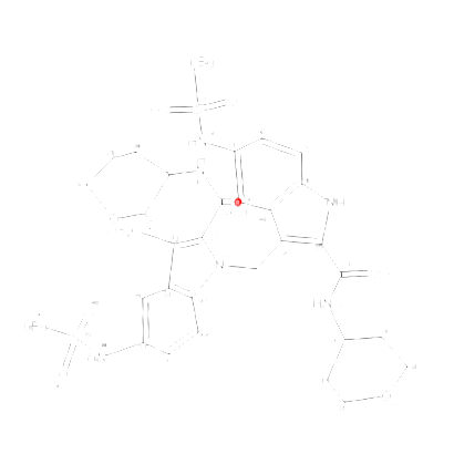 CCCCS(=O)(=O)Nc1ccc2[nH]c(C(=O)NC3CCOCC3)c(Cn3c(C(=O)NC4CCCOC4)c(C)c4cc(NS(=O)(=O)CCCC)ccc43)c2c1